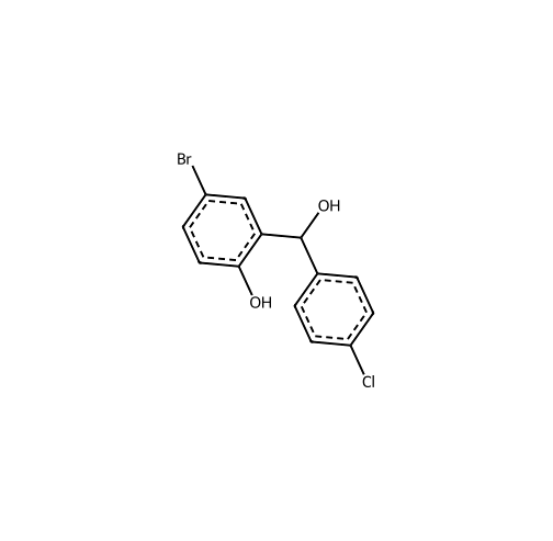 Oc1ccc(Br)cc1C(O)c1ccc(Cl)cc1